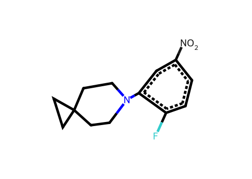 O=[N+]([O-])c1ccc(F)c(N2CCC3(CC2)CC3)c1